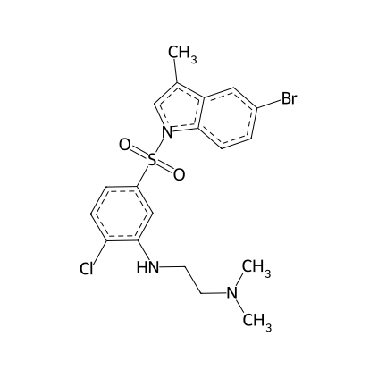 Cc1cn(S(=O)(=O)c2ccc(Cl)c(NCCN(C)C)c2)c2ccc(Br)cc12